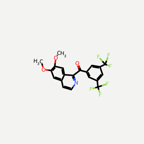 COc1cc2ccnc(C(=O)c3cc(C(F)(F)F)cc(C(F)(F)F)c3)c2cc1OC